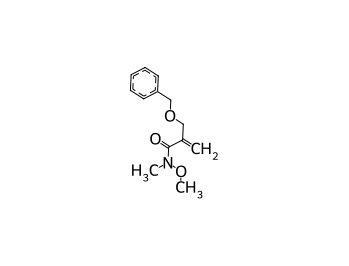 C=C(COCc1ccccc1)C(=O)N(C)OC